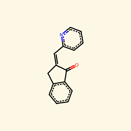 O=C1C(=Cc2ccccn2)Cc2ccccc21